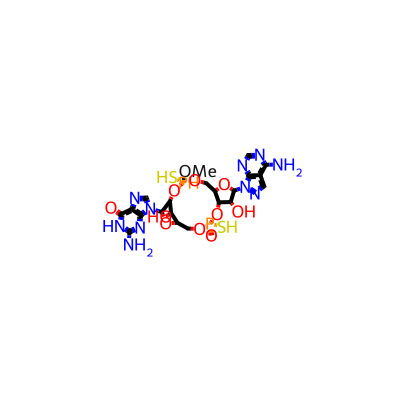 CO[PH]1(S)OCC2OC(n3ncc4c(N)ncnc43)C(O)C2OP(=O)(S)OCC2OC(n3cnc4c(=O)[nH]c(N)nc43)C(O1)C2O